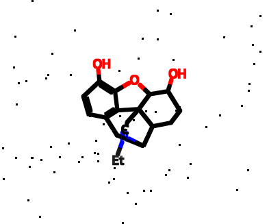 CCN1CCC23c4c5ccc(O)c4OC2C(O)CCC3C1C5